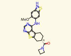 COc1cc2[nH]sc2cc1Nc1ncnc2sc3c(c12)CC[C@H](C(=O)N1CCC1)C3